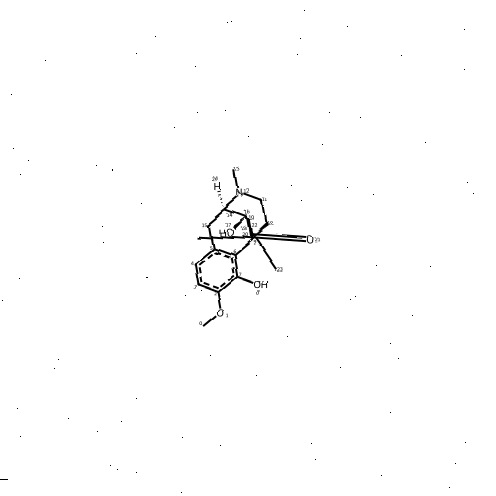 COc1ccc2c(c1O)[C@]13CCN(C)[C@H](C2)[C@]1(O)CCC(=O)C3C